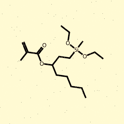 C=C(C)C(=O)OC(CCCCC)CC[Si](C)(OCC)OCC